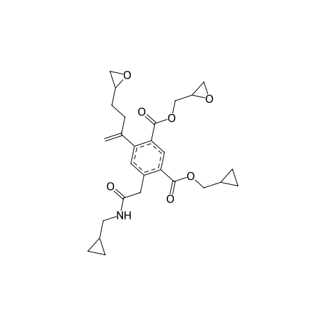 C=C(CCC1CO1)c1cc(CC(=O)NCC2CC2)c(C(=O)OCC2CC2)cc1C(=O)OCC1CO1